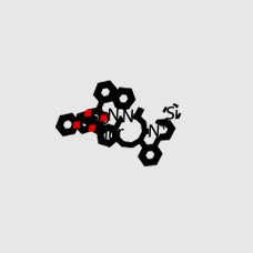 C=C1CC2C(CCc3ccc4c(oc5ccccc54)c3-c3n(-c4c(-c5ccccc5)cc(-c5ccccc5)cc4C(C)C)c4ccccc4[n+]31)c1ccccc1-c1ccc([Si](C)(C)C)c[n+]12